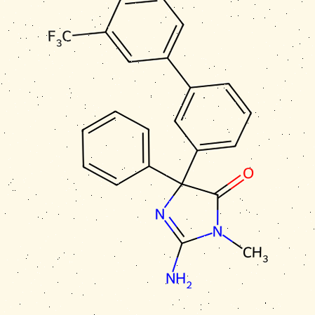 CN1C(=O)C(c2ccccc2)(c2cccc(-c3cccc(C(F)(F)F)c3)c2)N=C1N